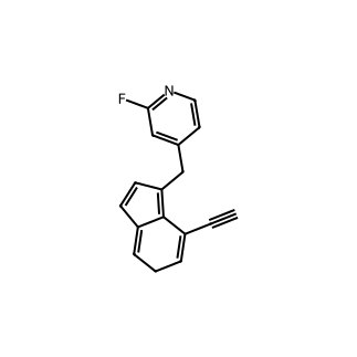 C#CC1=CCC=C2C=CC(Cc3ccnc(F)c3)=C12